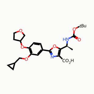 C[C@H](NC(=O)OC(C)(C)C)c1oc(-c2ccc(OC3CCOC3)c(OCC3CC3)c2)nc1C(=O)O